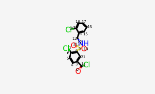 O=C(Cl)c1ccc(Cl)c(S(=O)(=O)NCc2ccccc2Cl)c1